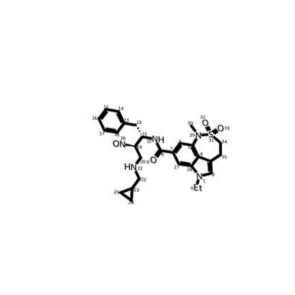 CCn1cc2c3c(cc(C(=O)N[C@@H](Cc4ccccc4)[C@@H](CNCC4CC4)N=O)cc31)N(C)S(=O)(=O)CC2